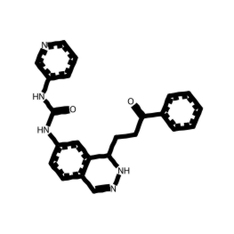 O=C(Nc1cccnc1)Nc1ccc2c(c1)C(CCC(=O)c1ccccc1)NN=C2